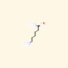 NCCCCCC(N)=C=O